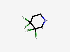 FC1(F)CC[N]CC1(F)F